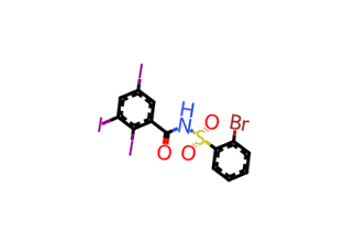 O=C(NS(=O)(=O)c1ccccc1Br)c1cc(I)cc(I)c1I